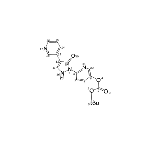 CC(C)(C)OC(=O)Oc1ccc(-n2[nH]cc(-c3cccnc3)c2=O)nc1